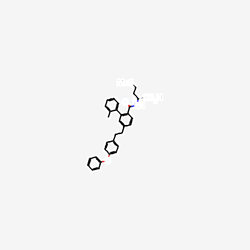 CSCC[C@H](NC(=O)c1ccc(CCc2ccc(Oc3ccccc3)cc2)cc1-c1ccccc1C)C(=O)O